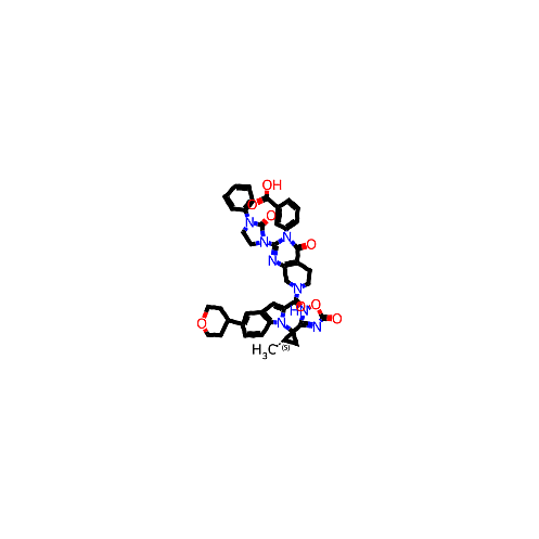 C[C@H]1CC1(c1nc(=O)o[nH]1)n1c(C(=O)N2CCc3c(nc(N4CCN(c5ccccc5)C4=O)n(-c4cccc(C(=O)O)c4)c3=O)C2)cc2cc(C3CCOCC3)ccc21